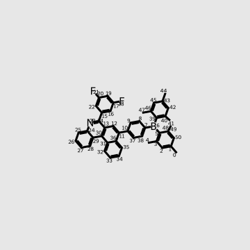 Cc1cc(C)c(B(c2ccc(-c3cc4c(-c5cc(F)cc(F)c5)nc5ccccc5c4c4ccccc34)cc2)c2c(C)cc(C)cc2C)c(C)c1